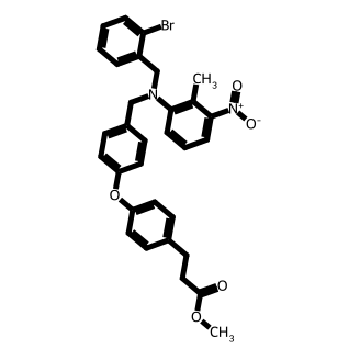 COC(=O)CCc1ccc(Oc2ccc(CN(Cc3ccccc3Br)c3cccc([N+](=O)[O-])c3C)cc2)cc1